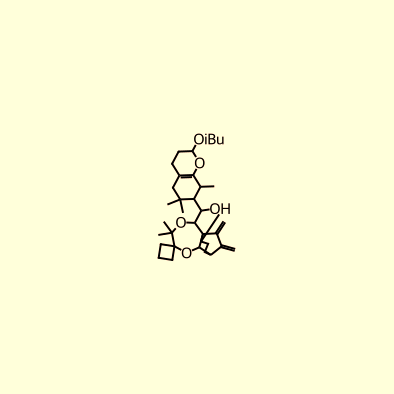 C=C1C(=C)C23C(C)CCC1C2OC1(CCC1)C(C)(C)OC3C(O)C1C(C)C2=C(CCC(OCC(C)C)O2)CC1(C)C